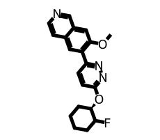 COc1cc2cnccc2cc1-c1ccc(O[C@@H]2CCCCC2F)nn1